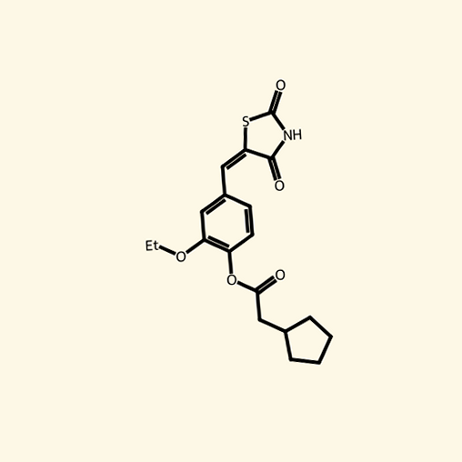 CCOc1cc(C=C2SC(=O)NC2=O)ccc1OC(=O)CC1CCCC1